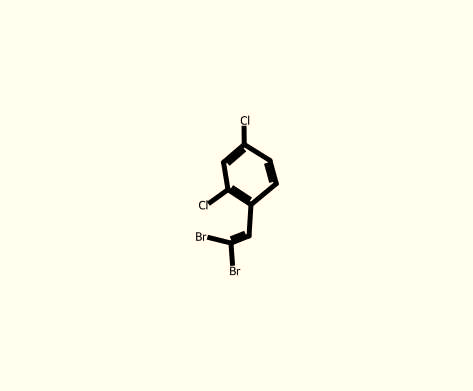 Clc1ccc(C=C(Br)Br)c(Cl)c1